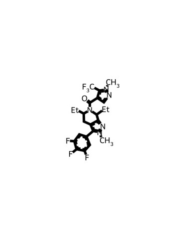 CCC1Cc2c(nn(C)c2-c2cc(F)c(F)c(F)c2)C(CC)N1C(=O)c1cnn(C)c1C(F)(F)F